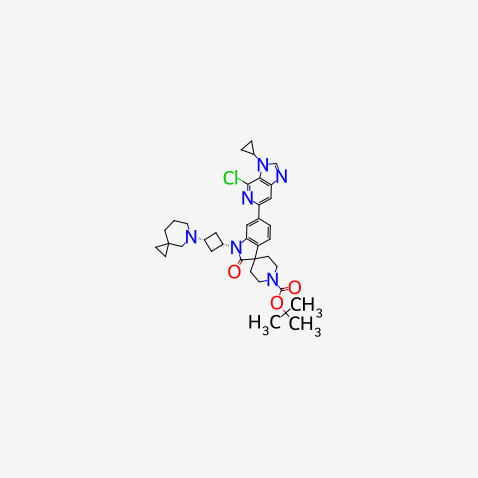 CC(C)(C)OC(=O)N1CCC2(CC1)C(=O)N([C@H]1C[C@@H](N3CCCC4(CC4)C3)C1)c1cc(-c3cc4ncn(C5CC5)c4c(Cl)n3)ccc12